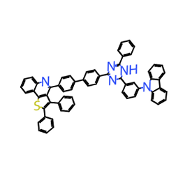 c1ccc(C2=NC(c3ccc(-c4ccc(-c5nc6ccccc6c6sc(-c7ccccc7)c(-c7ccccc7)c56)cc4)cc3)=NC(c3cccc(-n4c5ccccc5c5ccccc54)c3)N2)cc1